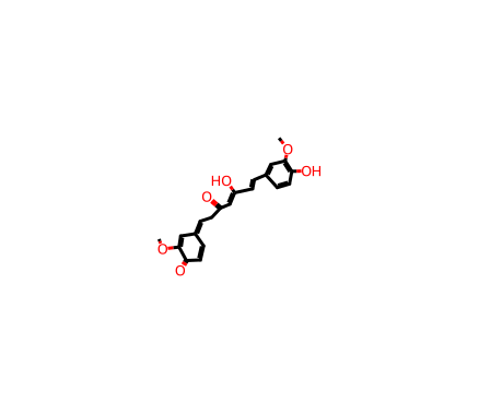 COC1=CC(=CCC(=O)C=C(O)C=Cc2ccc(O)c(OC)c2)C=CC1=O